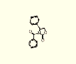 O=C1OCC(c2ccccc2)N1C(=O)c1ccccc1